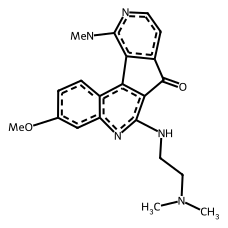 CNc1nccc2c1-c1c(c(NCCN(C)C)nc3cc(OC)ccc13)C2=O